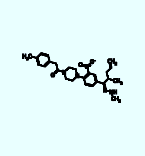 C=CCC(C)/C(=N\NC)c1ccc(N2CCN(C(=O)Cc3ccc(C)cc3)CC2)c([N+](=O)[O-])c1